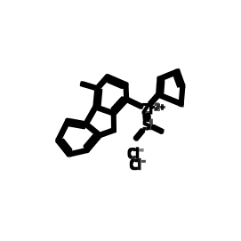 Cc1cc[c]([Zr+2]([C]2=CC=CC2)=[Si](C)C)c2c1-c1ccccc1C2.[Cl-].[Cl-]